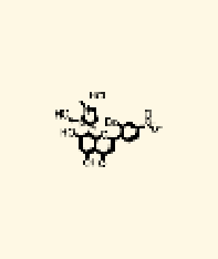 CN1CC[C@H](c2c(O)cc(O)c3c(=O)cc(-c4ccc([N+](=O)[O-])cc4Br)oc23)[C@H]1CO.Cl